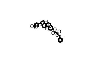 C[C@]12CC[C@H](OC(=O)C(=O)OCc3ccccc3)C=C1CC[C@@H]1[C@@H]2CC[C@]2(C)[C@@H](c3ccc(=O)oc3)CC[C@]12O